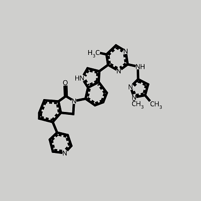 Cc1cnc(Nc2cc(C)n(C)n2)nc1-c1c[nH]c2c(N3Cc4c(cccc4-c4ccncc4)C3=O)cccc12